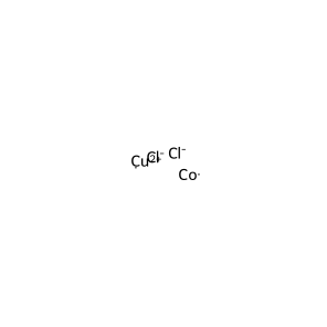 [Cl-].[Cl-].[Co].[Cu+2]